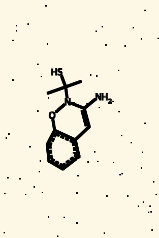 CC(C)(S)N1Oc2ccccc2C=C1N